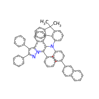 CC1(C)c2ccccc2-c2c(N(c3ccc(-c4ccc5ccccc5c4)cc3)c3c(-c4ccccc4)n4nc(-c5ccccc5)c(-c5ccccc5)c4c4ccccc34)cccc21